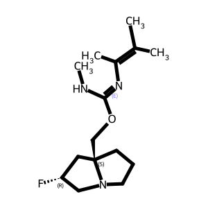 CN/C(=N\C(C)=C(C)C)OC[C@@]12CCCN1C[C@H](F)C2